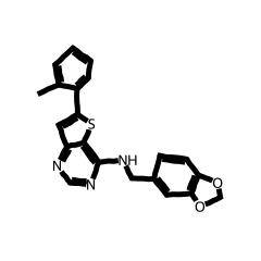 Cc1ccccc1-c1cc2ncnc(NCc3ccc4c(c3)OCO4)c2s1